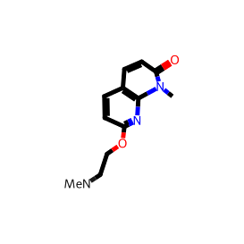 CNCCOc1ccc2ccc(=O)n(C)c2n1